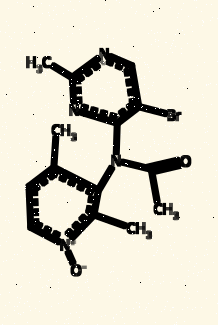 CC(=O)N(c1nc(C)ncc1Br)c1c(C)cc[n+]([O-])c1C